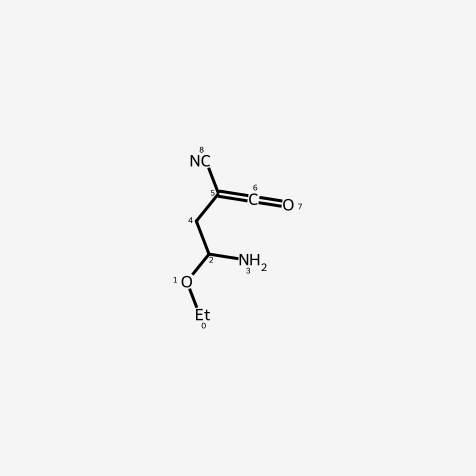 CCOC(N)CC(=C=O)C#N